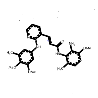 COc1ccc(C)c(NC(=O)/C=C/c2cccnc2Nc2cc(C)c(OC)c(OC)c2)c1N